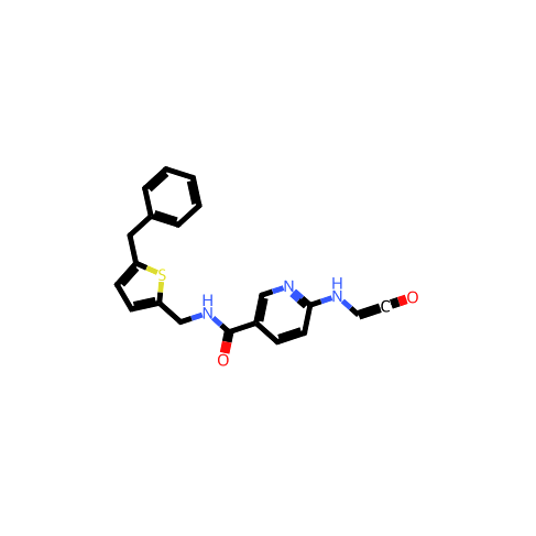 O=C=CNc1ccc(C(=O)NCc2ccc(Cc3ccccc3)s2)cn1